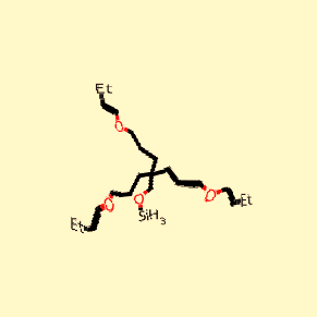 CCC=COCCCC(CCCOC=CCC)(CCCOC=CCC)CO[SiH3]